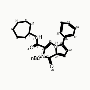 CCCCn1c(C(=O)NC2CCCCCC2)cn2c(-c3ccccc3)ccc2c1=O